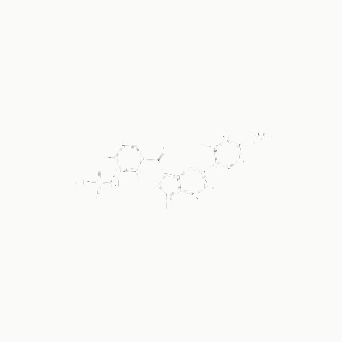 CCCS(=O)(=O)Nc1c(F)ccc(C(=O)c2c[nH]c3ncc(-c4cnc(OC)nc4C)cc23)c1F